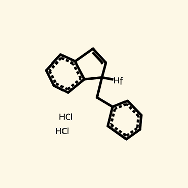 Cl.Cl.[Hf][C]1(Cc2ccccc2)C=Cc2ccccc21